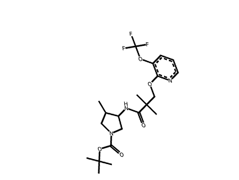 CC1CN(C(=O)OC(C)(C)C)CC1NC(=O)C(C)(C)COc1ncccc1OC(F)(F)F